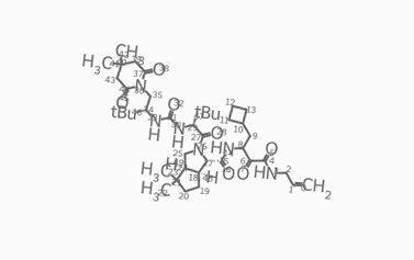 C=CCNC(=O)C(=O)C(CC1CCC1)NC(=O)[C@@H]1[C@H]2CCC(C)(C)[C@H]2CN1C(=O)[C@@H](NC(=O)N[C@H](CN1C(=O)CC(C)(C)CC1=O)C(C)(C)C)C(C)(C)C